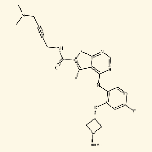 CC(=O)N[C@H]1C[C@H](Oc2cc(F)ccc2Nc2ncnc3sc(C(=O)NCC#CCN(C)C)c(C)c23)C1